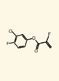 C=C(F)C(=O)Oc1ccc(F)c(Cl)c1